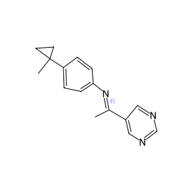 C/C(=N\c1ccc(C2(C)CC2)cc1)c1cncnc1